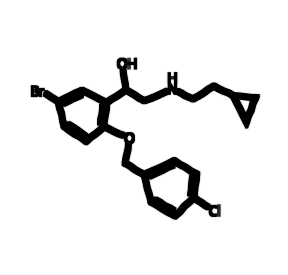 OC(CNCCC1CC1)c1cc(Br)ccc1OCc1ccc(Cl)cc1